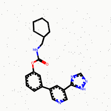 O=C(NCC1CCCCC1)Oc1cccc(-c2cncc(-c3ncn[nH]3)c2)c1